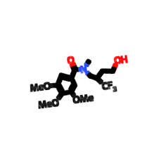 COc1cc(C(=O)N(C)CC(CCO)C(F)(F)F)cc(OC)c1OC